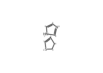 C1=CSCC1.c1c[nH]cn1